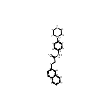 O=C(CCc1ccc2ccccc2c1)Nc1ccc(N2CCOCC2)cc1